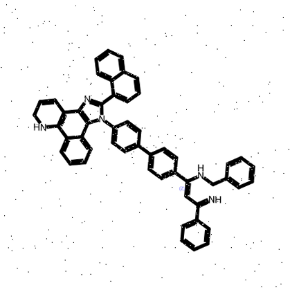 N=C(/C=C(\NCc1ccccc1)c1ccc(-c2ccc(-n3c(-c4cccc5ccccc45)nc4c5c(c6ccccc6c43)NCC=C5)cc2)cc1)c1ccccc1